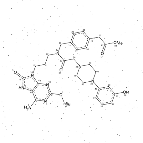 CCCCOc1nc(N)c2[nH]c(=O)n(CCCN(Cc3ccc(CC(=O)OC)cc3)C(=O)CN3CCN(c4cccc(O)c4)CC3)c2n1